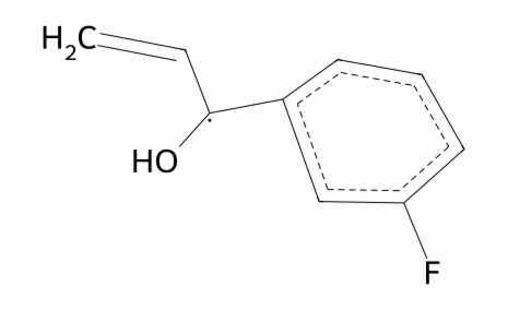 C=C[C](O)c1cccc(F)c1